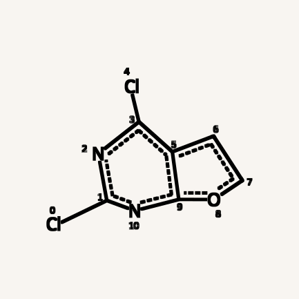 Clc1nc(Cl)c2ccoc2n1